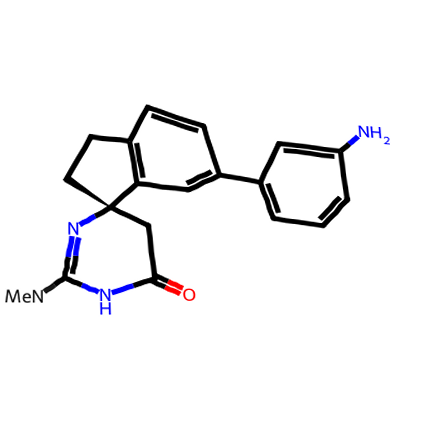 CNC1=N[C@@]2(CCc3ccc(-c4cccc(N)c4)cc32)CC(=O)N1